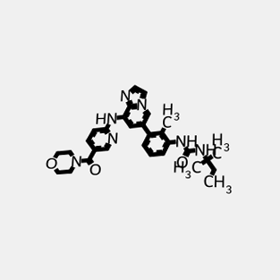 CCC(C)(C)NC(=O)Nc1cccc(-c2cc(Nc3ccc(C(=O)N4CCOCC4)cn3)c3nccn3c2)c1C